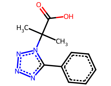 CC(C)(C(=O)O)n1nnnc1-c1ccccc1